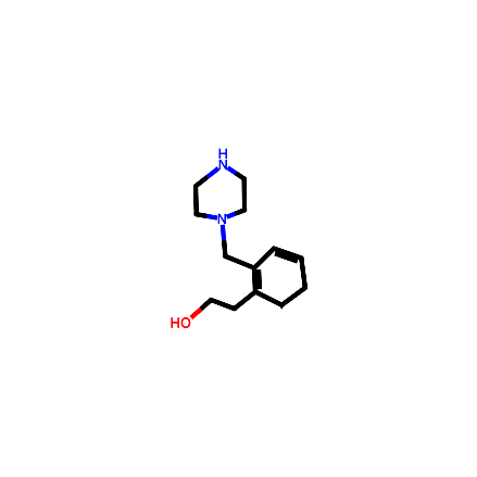 OCCC1=C(CN2CCNCC2)C=CC[CH]1